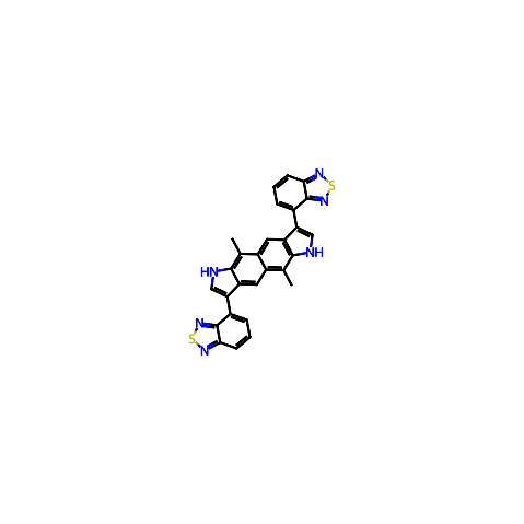 Cc1c2cc3c(-c4cccc5nsnc45)c[nH]c3c(C)c2cc2c(-c3cccc4nsnc34)c[nH]c12